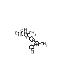 CCC(=O)Nc1nc(C2CCN(c3cc(C)nn3-c3cccc(Cl)c3)CC2)c(C)[nH]1